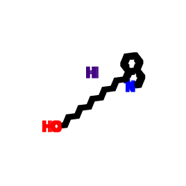 I.OCCCCCCCCCCc1nccc2ccccc12